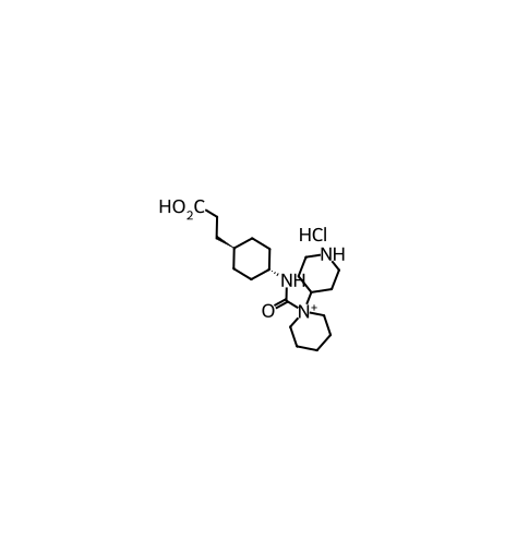 Cl.O=C(O)CC[C@H]1CC[C@H](NC(=O)[N+]2(C3CCNCC3)CCCCC2)CC1